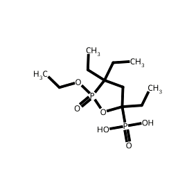 CCOP1(=O)OC(CC)(P(=O)(O)O)CC1(CC)CC